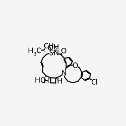 CC(C)[C@H]1C/C=C/C[C@@H](O)[C@@H]2CC[C@H]2CN2CCCCc3cc(Cl)ccc3COc3ccc(cc32)C(=O)N[S+]1[O-]